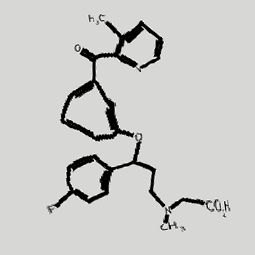 Cc1cccnc1C(=O)c1cccc(OC(CCN(C)CC(=O)O)c2ccc(F)cc2)c1